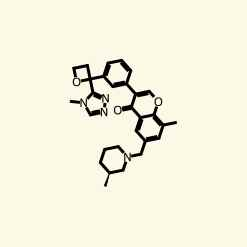 Cc1cc(CN2CCC[C@H](C)C2)cc2c(=O)c(-c3cccc(C4(c5nncn5C)CCO4)c3)coc12